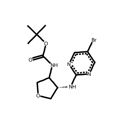 CC(C)(C)OC(=O)NC1COC[C@H]1Nc1ncc(Br)cn1